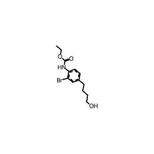 CCOC(=O)Nc1ccc(CCCCO)cc1Br